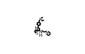 CCN(CC)Cc1ccc(-c2cc(NCCCN3CCCCC3)c3sccc3n2)cc1